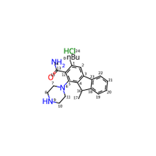 CCCCc1cc2c(c(N3CCNCC3)c1C(N)=O)C(C)c1ccccc1-2.Cl